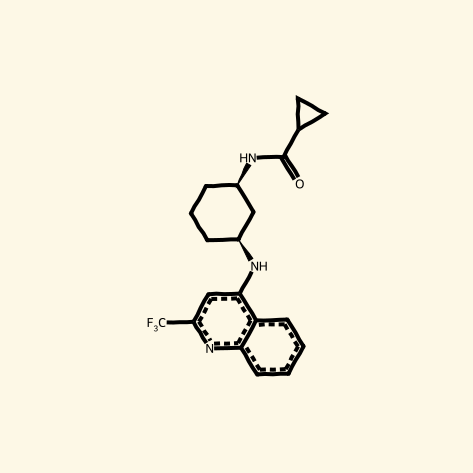 O=C(N[C@@H]1CCC[C@H](Nc2cc(C(F)(F)F)nc3ccccc23)C1)C1CC1